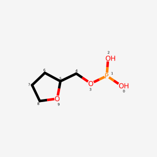 OP(O)OCC1CCCO1